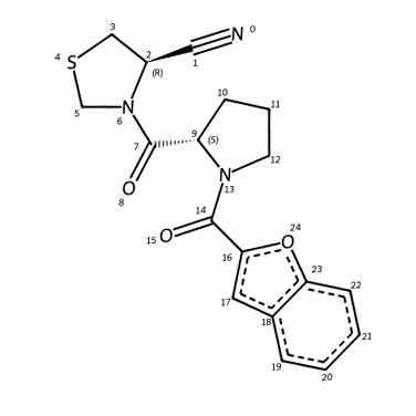 N#C[C@@H]1CSCN1C(=O)[C@@H]1CCCN1C(=O)c1cc2ccccc2o1